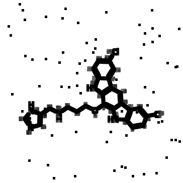 Clc1ccc2[nH]c3c(OCCCNCc4cnc[nH]4)c4[nH]c5ccc(Cl)cc5c4cc3c2c1